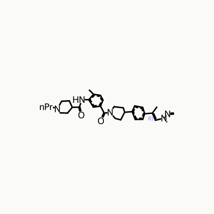 C=NN(C)/C=C(\C)c1ccc(C2CCN(C(=O)c3ccc(C)c(NC(=O)C4CCN(CCC)CC4)c3)CC2)cc1